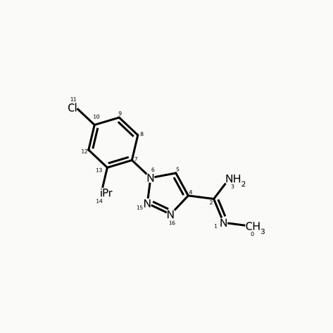 C/N=C(\N)c1cn(-c2ccc(Cl)cc2C(C)C)nn1